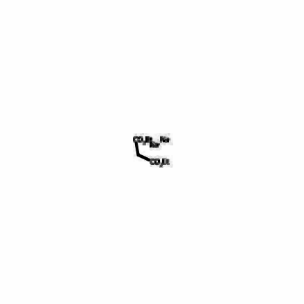 CCOC(=O)CC(=O)OCC.[Na].[Na]